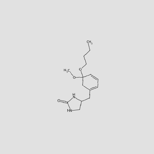 CCCCOC1(OC)C=CC=C(CC2CNC(=O)N2)C1